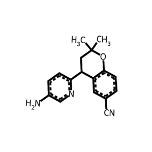 CC1(C)CC(c2ccc(N)cn2)c2cc(C#N)ccc2O1